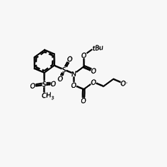 CC(C)(C)OC(=O)N(OC(=O)OCC[O])S(=O)(=O)c1ccccc1S(C)(=O)=O